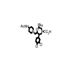 CC(=O)NC1CCN(CC2OC(C(C)(C)C)CN(C(=O)O)CC2c2ccc(Cl)c(Cl)c2)CC1